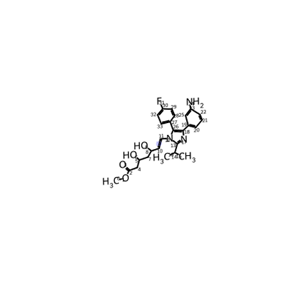 COC(=O)CC(O)CC(O)/C=C/n1c(C(C)C)nc(-c2cccc(N)c2)c1-c1ccc(F)cc1